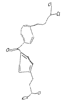 O=C(c1ccc(CCC(Cl)Cl)cc1)c1ccc(CCC(Cl)Cl)cc1